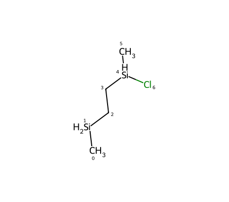 C[SiH2]CC[SiH](C)Cl